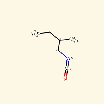 CC[C](C)CN=C=O